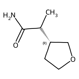 CC(C(N)=O)[C@H]1CCOC1